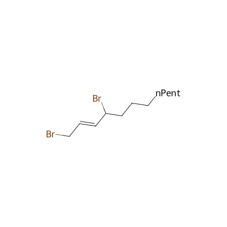 CCCCCCCCC(Br)C=CCBr